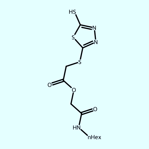 CCCCCCNC(=O)COC(=O)CSc1nnc(S)s1